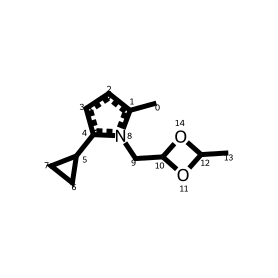 Cc1ccc(C2CC2)n1CC1OC(C)O1